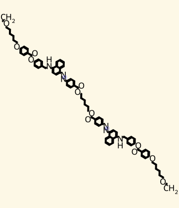 C=COCCCCCCOc1ccc(C(=O)Oc2ccc(CNc3ccc(/N=N/c4ccc(C(=O)OCCCCCCOC(=O)c5ccc(/N=N/c6ccc(NCc7ccc(OC(=O)c8ccc(OCCCCCCOC=C)cc8)cc7)c7ccccc67)cc5)cc4)c4ccccc34)cc2)cc1